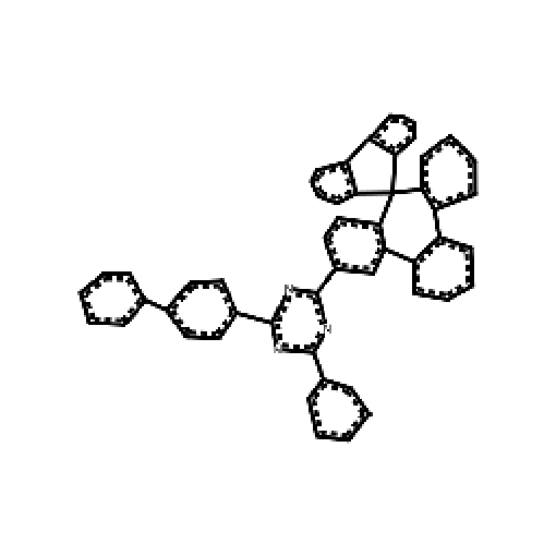 c1ccc(-c2ccc(-c3nc(-c4ccccc4)nc(-c4ccc5c(c4)-c4ccccc4-c4ccccc4C54c5ccccc5-c5ccccc54)n3)cc2)cc1